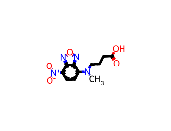 CN(CCCC(=O)O)c1ccc([N+](=O)[O-])c2nonc12